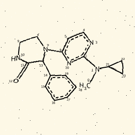 CN(c1nccc(N2CCNC(=O)C2c2ccccc2)n1)C1CC1